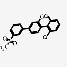 CS(=O)(=O)c1cccc(-c2ccc(-c3c(Cl)cccc3Cl)c(Cl)c2)c1